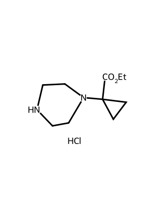 CCOC(=O)C1(N2CCNCC2)CC1.Cl